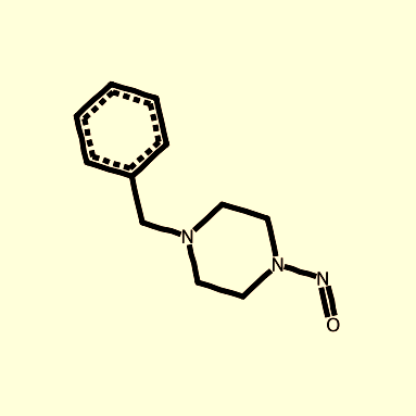 O=NN1CCN(Cc2ccccc2)CC1